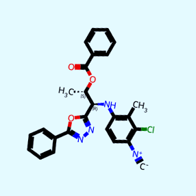 [C-]#[N+]c1ccc(N[C@@H](c2nnc(-c3ccccc3)o2)[C@H](C)OC(=O)c2ccccc2)c(C)c1Cl